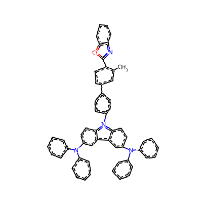 Cc1cc(-c2ccc(-n3c4ccc(N(c5ccccc5)c5ccccc5)cc4c4cc(N(c5ccccc5)c5ccccc5)ccc43)cc2)ccc1-c1nc2ccccc2o1